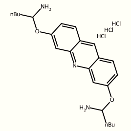 CCCCC(N)Oc1ccc2cc3ccc(OC(N)CCCC)cc3nc2c1.Cl.Cl.Cl